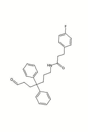 O=CCCC(CCCNC(=O)CCc1ccc(F)cc1)(c1ccccc1)c1ccccc1